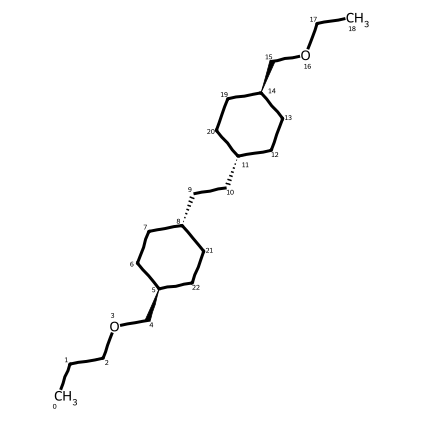 CCCOC[C@H]1CC[C@H](CC[C@H]2CC[C@H](COCC)CC2)CC1